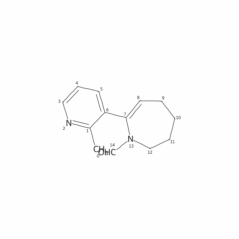 Cc1ncccc1C1=CCCCCN1C=O